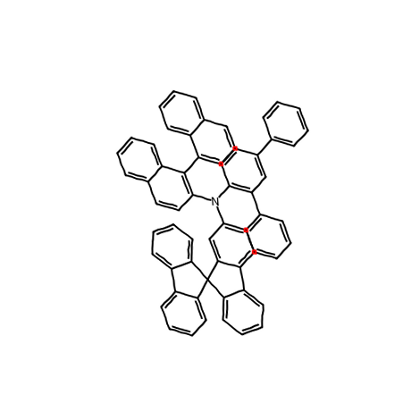 c1ccc(-c2ccc(N(c3ccc4c(c3)C3(c5ccccc5-c5ccccc53)c3ccccc3-4)c3ccc4ccccc4c3-c3cccc4ccccc34)c(-c3ccccc3)c2)cc1